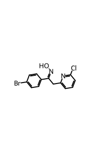 ON=C(Cc1cccc(Cl)n1)c1ccc(Br)cc1